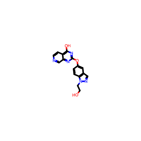 OCCn1ncc2cc(Oc3nc(O)c4ccncc4n3)ccc21